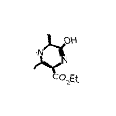 CCOC(=O)C1=C(C)[N]C(C)C(O)=N1